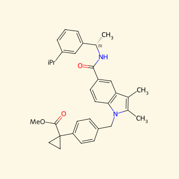 COC(=O)C1(c2ccc(Cn3c(C)c(C)c4cc(C(=O)N[C@@H](C)c5cccc(C(C)C)c5)ccc43)cc2)CC1